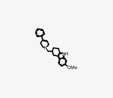 COc1ccc2c3c([nH]c2c1)CCC(CN1CC=C(c2ccccc2)CC1)C3